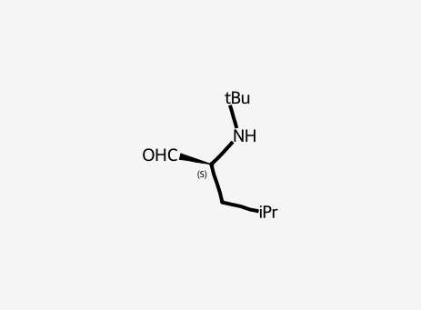 CC(C)C[C@@H](C=O)NC(C)(C)C